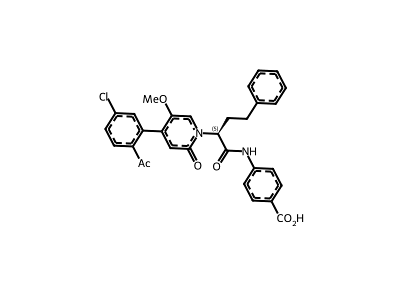 COc1cn([C@@H](CCc2ccccc2)C(=O)Nc2ccc(C(=O)O)cc2)c(=O)cc1-c1cc(Cl)ccc1C(C)=O